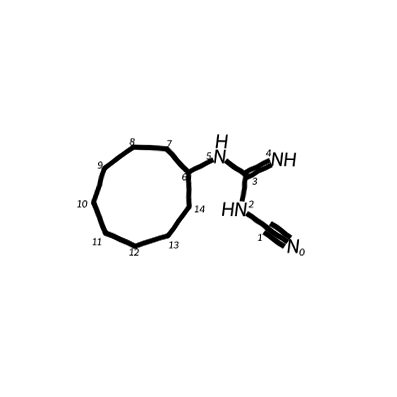 N#CNC(=N)NC1CCCCCCCC1